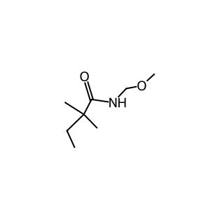 CCC(C)(C)C(=O)NCOC